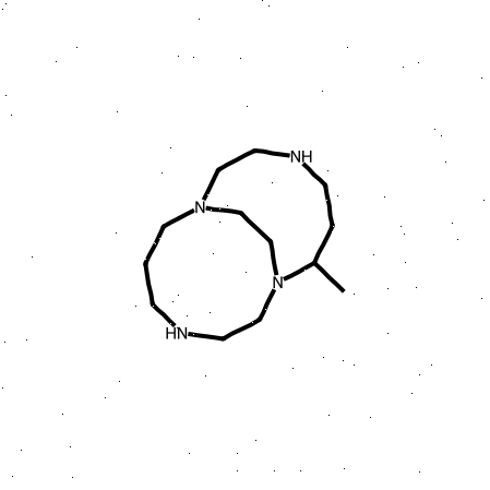 CC1CCNCCN2CCCNCCN1CC2